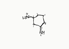 N=C1CCCC(=N)C1